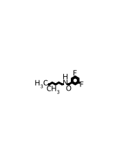 CC(C)CCCCNC(=O)c1cc(F)cc(F)c1